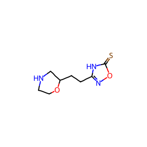 S=c1[nH]c(CCC2CNCCO2)no1